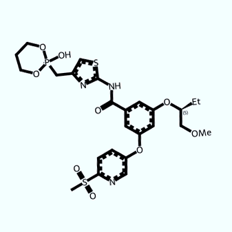 CC[C@@H](COC)Oc1cc(Oc2ccc(S(C)(=O)=O)nc2)cc(C(=O)Nc2nc(C[P]3(O)OCCCO3)cs2)c1